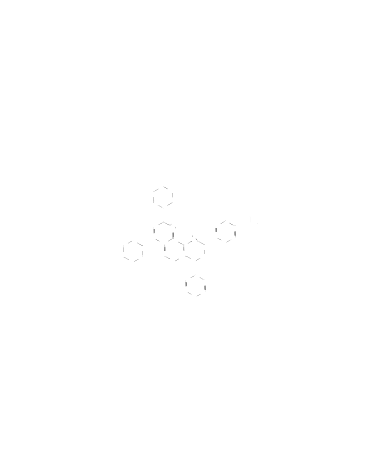 FC(F)(F)c1ccc(-c2cc(-c3ccccc3)c3ccc4c(-c5ccccc5)cc(-c5ccc(C(F)(F)F)cc5)nc4c3n2)cc1